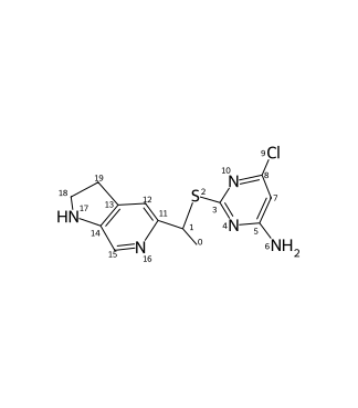 CC(Sc1nc(N)cc(Cl)n1)c1cc2c(cn1)NCC2